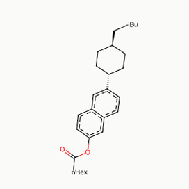 CCCCCCC(=O)Oc1ccc2cc([C@H]3CC[C@H](CC(C)CC)CC3)ccc2c1